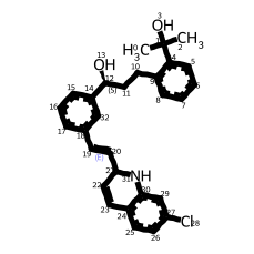 CC(C)(O)c1ccccc1CC[C@H](O)c1cccc(/C=C/C2C=Cc3ccc(Cl)cc3N2)c1